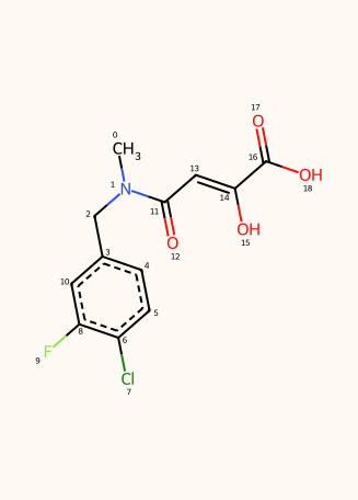 CN(Cc1ccc(Cl)c(F)c1)C(=O)C=C(O)C(=O)O